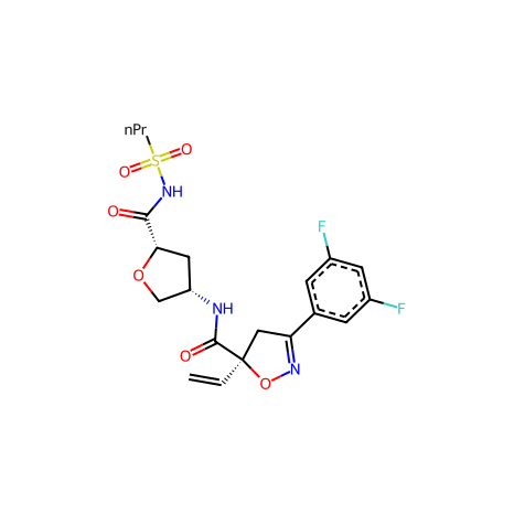 C=C[C@]1(C(=O)N[C@@H]2CO[C@H](C(=O)NS(=O)(=O)CCC)C2)CC(c2cc(F)cc(F)c2)=NO1